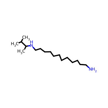 CC(C)C(C)NCCCCCCCCCCCCN